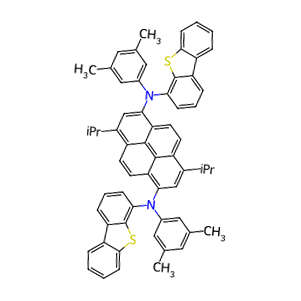 Cc1cc(C)cc(N(c2cc(C(C)C)c3ccc4c(N(c5cc(C)cc(C)c5)c5cccc6c5sc5ccccc56)cc(C(C)C)c5ccc2c3c54)c2cccc3c2sc2ccccc23)c1